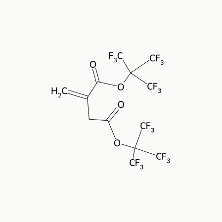 C=C(CC(=O)OC(C(F)(F)F)(C(F)(F)F)C(F)(F)F)C(=O)OC(C(F)(F)F)(C(F)(F)F)C(F)(F)F